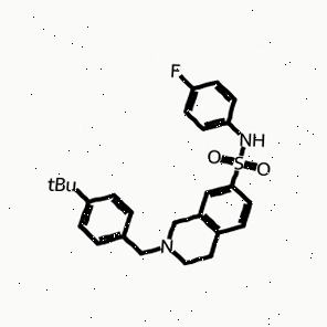 CC(C)(C)c1ccc(CN2CCc3ccc(S(=O)(=O)Nc4ccc(F)cc4)cc3C2)cc1